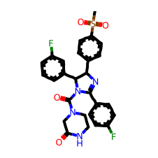 CS(=O)(=O)c1ccc(C2N=C(c3ccc(F)cc3)N(C(=O)N3CCNC(=O)C3)C2c2cccc(F)c2)cc1